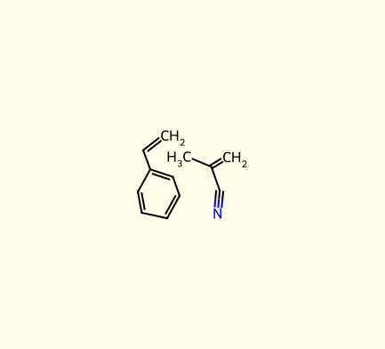 C=C(C)C#N.C=Cc1ccccc1